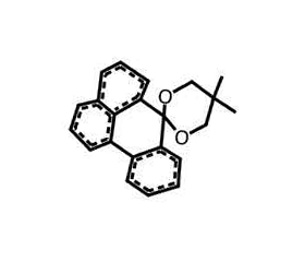 CC1(C)COC2(OC1)c1ccccc1-c1cccc3cccc2c13